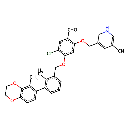 Cc1c(COc2cc(OCC3=CC(C#N)=CNC3)c(C=O)cc2Cl)cccc1-c1ccc2c(c1C)OCCO2